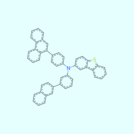 c1cc(-c2ccc3ccccc3c2)cc(N(c2ccc(-c3cc4ccccc4c4ccccc34)cc2)c2ccc3sc4ccccc4c3c2)c1